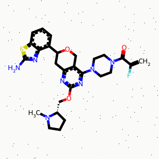 C=C(F)C(=O)N1CCN(c2nc(OC[C@@H]3CCCN3C)nc3c2COC(c2cccc4sc(N)nc24)C3)CC1